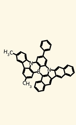 Cc1ccc2c(c1)c1cc(C)cc3c1n2-c1cc(-c2ccccc2)cc2c1B3c1c3ccccc3cc3c4cc5ccccc5cc4n-2c13